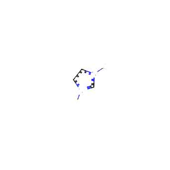 CCn1cc[n+](C(=O)[O-])c1